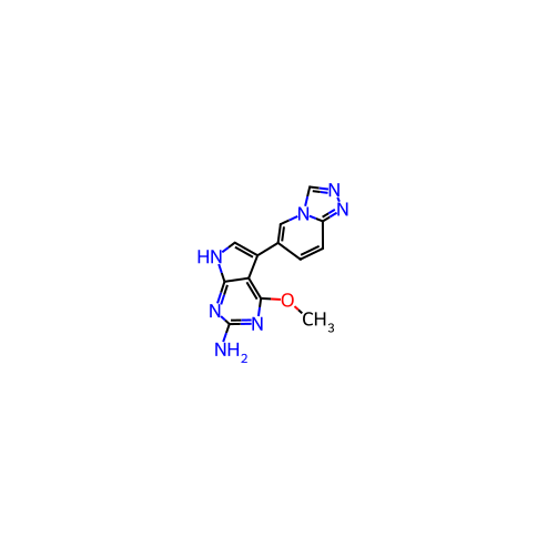 COc1nc(N)nc2[nH]cc(-c3ccc4nncn4c3)c12